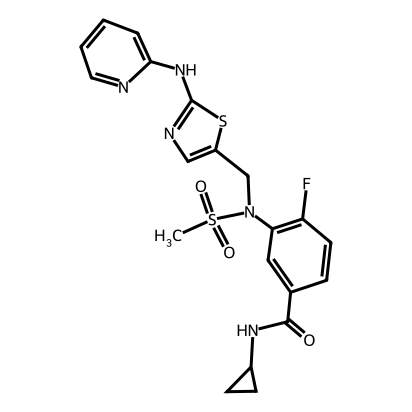 CS(=O)(=O)N(Cc1cnc(Nc2ccccn2)s1)c1cc(C(=O)NC2CC2)ccc1F